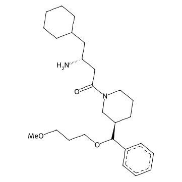 COCCCOC(c1ccccc1)[C@@H]1CCCN(C(=O)C[C@H](N)CC2CCCCC2)C1